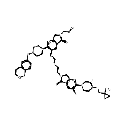 CCc1cc2c(nc1N1CC[C@H](OCC3(C)CC3)[C@@H](F)C1)CN(CCOCCc1cc3c(nc1N1CCC(Oc4ccc5c(c4)CCOC5)CC1)CN(CCO)C3=O)C2=O